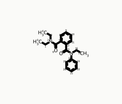 CCN(CC)C(=O)c1ccc[c]c1C(=O)N(CC)c1ccccc1